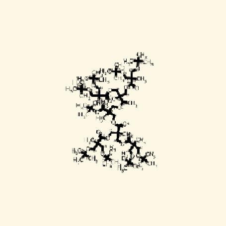 C=C(OCC(C)(COC(=O)C(C)(COC(=O)C(C)(COC(C)(C)C)COC(C)(C)C)COC(=O)C(C)(COC(C)(C)C)COC(C)(C)C)C(=O)OC(C)(C)C)C(C)(COC(=O)C(C)(COC(C)(C)C)COC(C)(C)C)COC(=O)C(C)(COC(C)(C)C)COC(C)(C)C